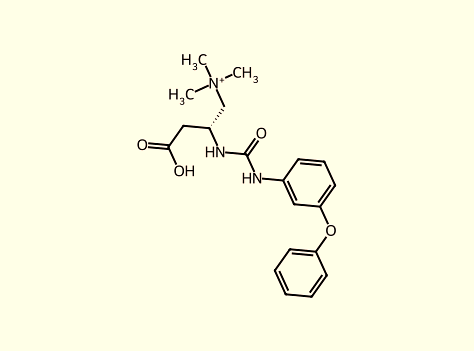 C[N+](C)(C)C[C@@H](CC(=O)O)NC(=O)Nc1cccc(Oc2ccccc2)c1